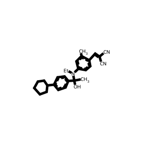 CCN(c1ccc(C=C(C#N)C#N)c(C)c1)C(C)(O)c1ccc(C2CCCCC2)cc1